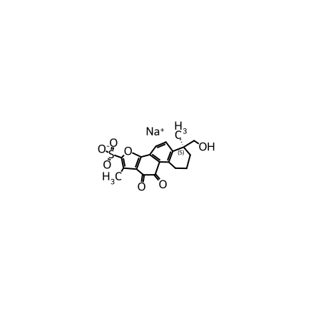 Cc1c(S(=O)(=O)[O-])oc2c1C(=O)C(=O)c1c-2ccc2c1CCC[C@]2(C)CO.[Na+]